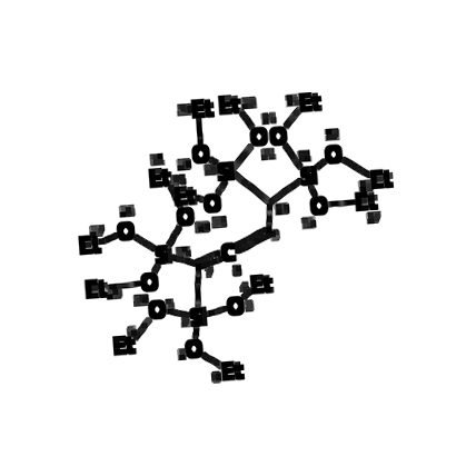 CCO[Si](OCC)(OCC)C(=C=CC([Si](OCC)(OCC)OCC)[Si](OCC)(OCC)OCC)[Si](OCC)(OCC)OCC